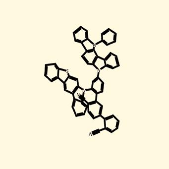 N#Cc1ccccc1-c1ccc(C#N)c(-c2ccc(-n3c4ccccc4c4c3ccc3c5ccccc5n(-c5ccccc5)c34)cc2-n2c3ccccc3c3cc4c(cc32)sc2ccccc24)c1